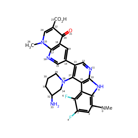 CNc1cc(F)c(F)c2c1[nH]c1ncc(-c3cnc4c(c3)c(=O)c(C(=O)O)cn4C)c(N3CCCC(N)C3)c12